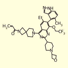 C=CC(=O)N1CC2(CCN(c3nc(C4CCN(C5COC5)CC4)nc4c(OCC(F)(F)F)c(-c5c(C)ccc6[nH]ncc56)c(CC)cc34)CC2)C1